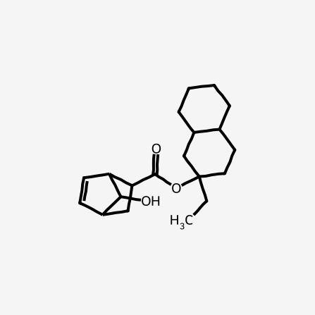 CCC1(OC(=O)C2CC3C=CC2C3O)CCC2CCCCC2C1